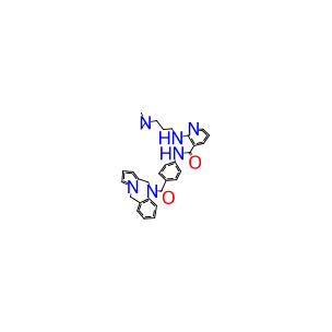 CN(C)CCCNc1ncccc1C(=O)Nc1ccc(C(=O)N2Cc3cccn3Cc3ccccc32)cc1